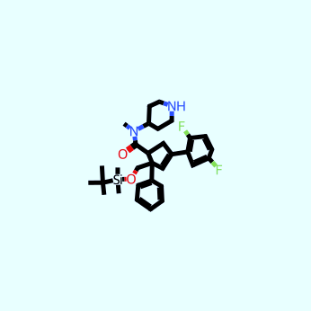 CN(C(=O)C1CC(c2cc(F)ccc2F)=CC1(CO[Si](C)(C)C(C)(C)C)c1ccccc1)C1CCNCC1